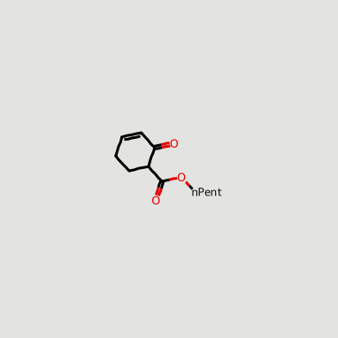 CCCCCOC(=O)C1CCC=CC1=O